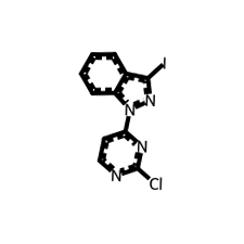 Clc1nccc(-n2nc(I)c3ccccc32)n1